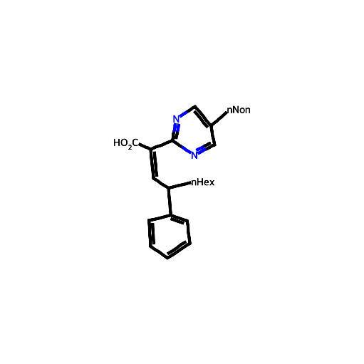 CCCCCCCCCc1cnc(/C(=C\C(CCCCCC)c2ccccc2)C(=O)O)nc1